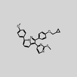 COc1ccc(-c2cccc3c(-c4ccnc(SC)n4)c(-c4ccc(OCC5CC5)cc4)nn23)cc1